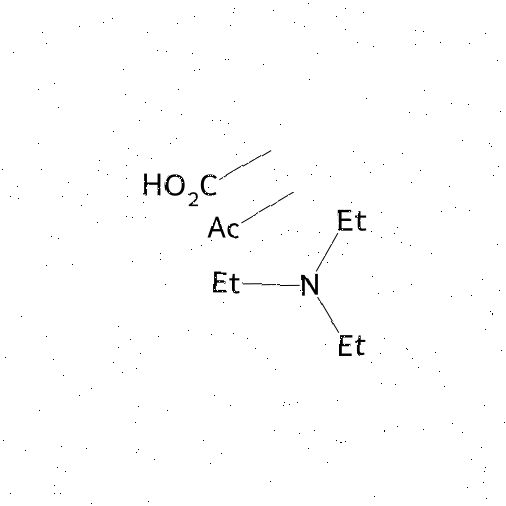 CC(=O)O.CC(C)=O.CCN(CC)CC